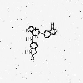 O=C1Cc2ccc(Nc3nc(-c4ccc5cn[nH]c5c4)cn4ccnc34)cc2N1